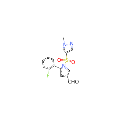 Cn1cc(S(=O)(=O)n2cc(C=O)cc2-c2ccccc2F)cn1